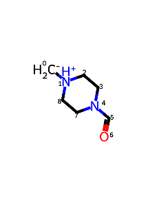 [CH2-][NH+]1CCN(C=O)CC1